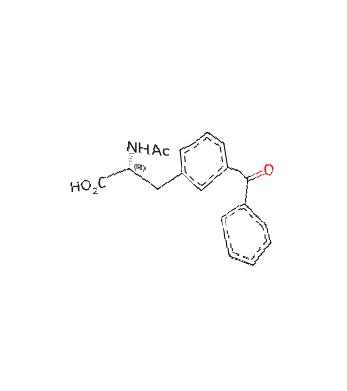 CC(=O)N[C@H](Cc1cccc(C(=O)c2ccccc2)c1)C(=O)O